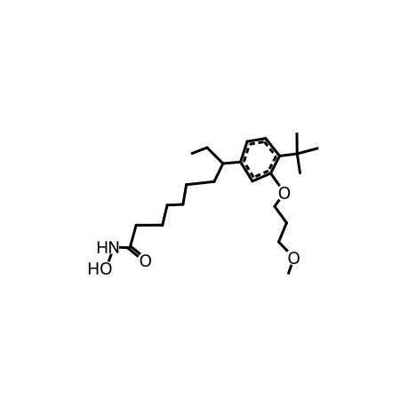 CCC(CCCCCCC(=O)NO)c1ccc(C(C)(C)C)c(OCCCOC)c1